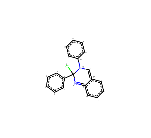 ClC1(c2ccccc2)N=c2ccccc2=CN1c1ccccc1